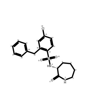 O=C1NCCCC[C@H]1NS(=O)(=O)c1ccc(Cl)cc1Cc1ccccc1